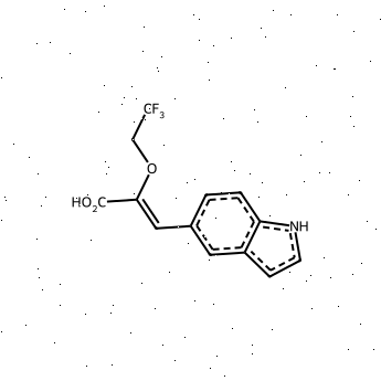 O=C(O)/C(=C/c1ccc2[nH]ccc2c1)OCC(F)(F)F